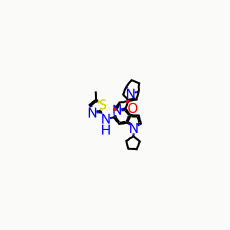 C=CC(=O)N1C2C=C(c3nc(Nc4ncc(C)s4)cc4c3ccn4C3CCCC3)CC1CC2